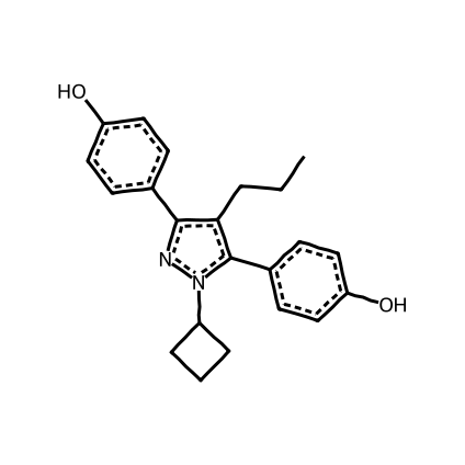 CCCc1c(-c2ccc(O)cc2)nn(C2CCC2)c1-c1ccc(O)cc1